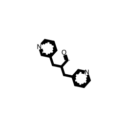 O=[C]C(Cc1cccnc1)Cc1cccnc1